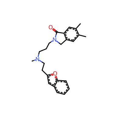 Cc1cc2c(cc1C)C(=O)N(CCCN(C)CCc1cc3ccccc3o1)C2